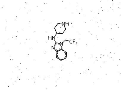 FC(F)(F)Cn1c(NC2CCNCC2)nc2ccccc21